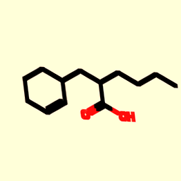 CCCCC(CC1C=CCCC1)C(=O)O